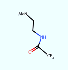 CNCCNC(=O)C(F)(F)F